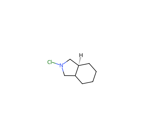 ClN1CC2CCCC[C@@H]2C1